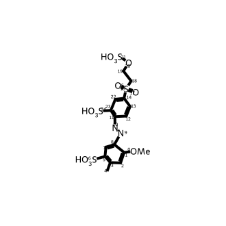 COc1cc(C)c(S(=O)(=O)O)cc1N=Nc1ccc(S(=O)(=O)CCOS(=O)(=O)O)cc1S(=O)(=O)O